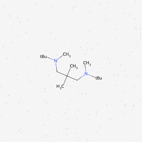 CN(CC(C)(C)CN(C)C(C)(C)C)C(C)(C)C